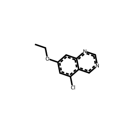 CCOc1cc(Cl)c2cncnc2c1